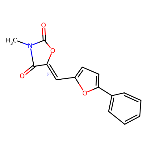 CN1C(=O)O/C(=C\c2ccc(-c3ccccc3)o2)C1=O